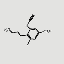 C#COc1cc(C(=O)O)cc(C)c1CCCN